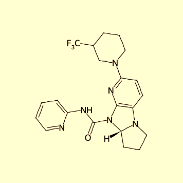 O=C(Nc1ccccn1)N1c2nc(N3CCCC(C(F)(F)F)C3)ccc2N2CCC[C@@H]21